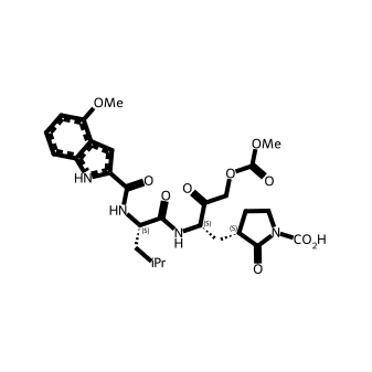 COC(=O)OCC(=O)[C@H](C[C@@H]1CCN(C(=O)O)C1=O)NC(=O)[C@H](CC(C)C)NC(=O)c1cc2c(OC)cccc2[nH]1